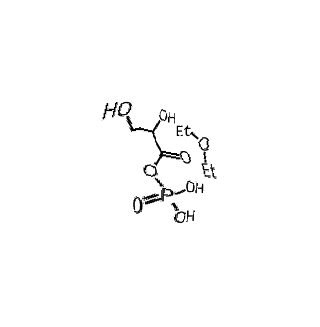 CCOCC.O=C(OP(=O)(O)O)C(O)CO